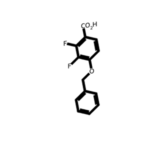 O=C(O)c1ccc(OCc2ccccc2)c(F)c1F